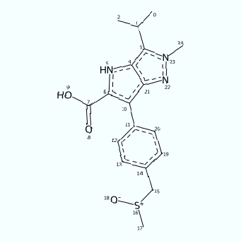 CC(C)c1c2[nH]c(C(=O)O)c(-c3ccc(C[S+](C)[O-])cc3)c2nn1C